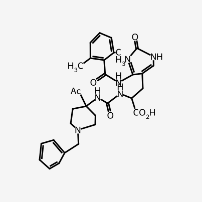 CC(=O)C1(NC(=O)NC(Cc2c[nH]c(=O)nc2NC(=O)c2c(C)cccc2C)C(=O)O)CCN(Cc2ccccc2)CC1